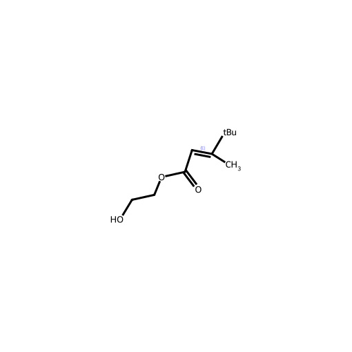 C/C(=C\C(=O)OCCO)C(C)(C)C